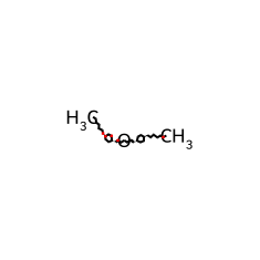 CCCCCCC[C@H]1CC[C@H](/C=C/COC/C=C/[C@H]2CC[C@H](CCCCCCC)CC2)CC1